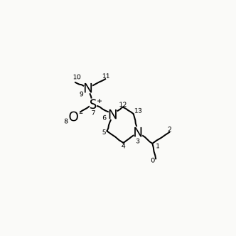 CC(C)N1CCN([S+]([O-])N(C)C)CC1